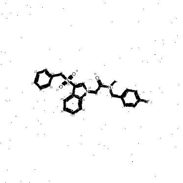 CN(Cc1ccc(F)cc1)C(=O)Cn1cc(S(=O)(=O)Cc2ccccc2)c2ccccc21